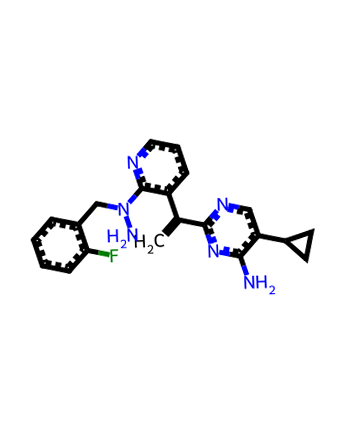 C=C(c1ncc(C2CC2)c(N)n1)c1cccnc1N(N)Cc1ccccc1F